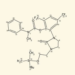 CN(C(=O)Oc1c(N2CCN(CCO[Si](C)(C)C(C)(C)C)C2=O)cc(C(F)(F)F)cc1C(F)(F)F)c1ccccc1